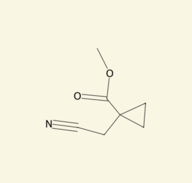 COC(=O)C1(CC#N)CC1